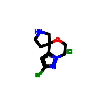 Brc1cc2n(n1)CCOC21CCNC1.Cl